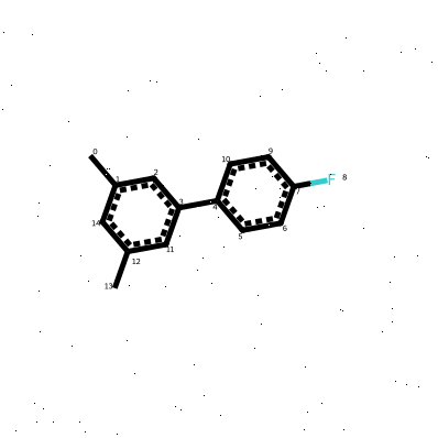 Cc1[c]c(-c2ccc(F)cc2)cc(C)c1